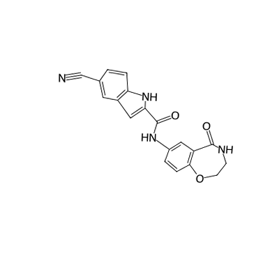 N#Cc1ccc2[nH]c(C(=O)Nc3ccc4c(c3)C(=O)NCCO4)cc2c1